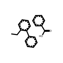 CCc1ccccc1-c1ccccc1.O=C(O)c1ccccc1